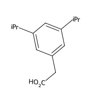 CC(C)c1cc(CC(=O)O)cc(C(C)C)c1